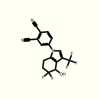 N#Cc1ccc(-n2cc(C(F)(F)F)c3c2CCC(F)(F)C3O)cc1C#N